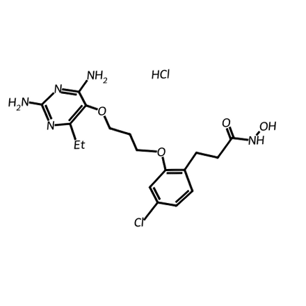 CCc1nc(N)nc(N)c1OCCCOc1cc(Cl)ccc1CCC(=O)NO.Cl